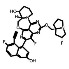 C#Cc1c(F)ccc2cc(O)cc(-c3nc4c5c(nc(OC[C@@]67CCCN6C[C@H](F)C7)nc5c3F)N3CCC[C@@H](O)[C@H]3CO4)c12